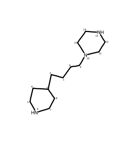 [CH](CCC1CCNCC1)CN1CCNCC1